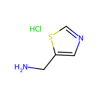 Cl.NCc1cncs1